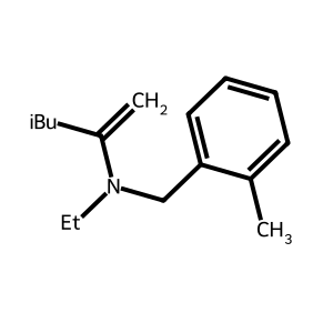 C=C(C(C)CC)N(CC)Cc1ccccc1C